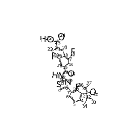 COC(c1cccc(-c2csc(NC(=O)c3cc(F)c(C=C(C)C(=O)O)c(F)c3)n2)c1F)(C(C)C)C(C)C